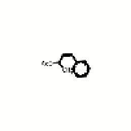 CC(=O)OC(C)/C=C\c1ccccc1